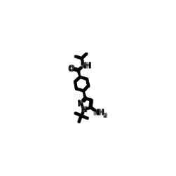 CC(C)NC(=O)[C@H]1CC[C@@H](c2cc(N)n(C(C)(C)C)n2)CC1